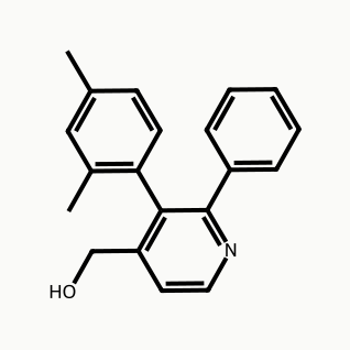 Cc1ccc(-c2c(CO)ccnc2-c2ccccc2)c(C)c1